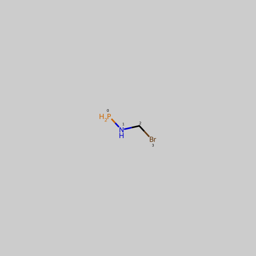 PNCBr